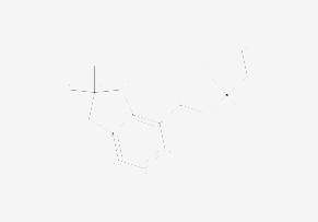 CCC(F)(F)OCc1cccc2c1OC(C)(C)C2